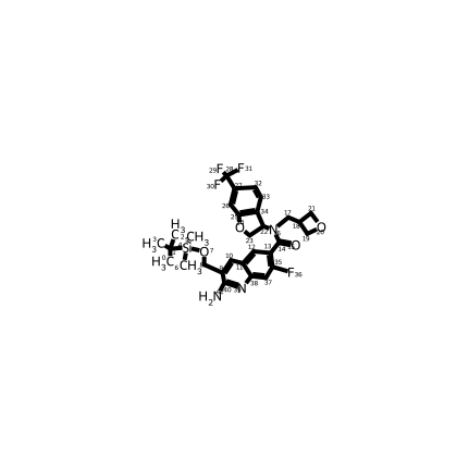 CC(C)(C)[Si](C)(C)OCc1cc2cc(C(=O)N(CC3COC3)C3COc4cc(C(F)(F)F)ccc43)c(F)cc2nc1N